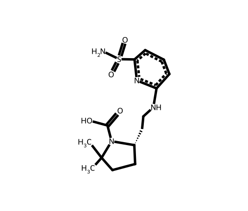 CC1(C)CC[C@@H](CCNc2cccc(S(N)(=O)=O)n2)N1C(=O)O